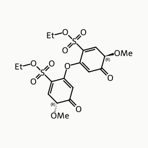 CCOS(=O)(=O)C1=C[C@@H](OC)C(=O)C=C1OC1=CC(=O)[C@H](OC)C=C1S(=O)(=O)OCC